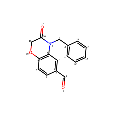 O=Cc1ccc2c(c1)N(Cc1ccccc1)C(=O)CO2